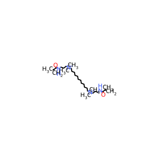 C=C(C)C(=O)NCCC[N+](C)(C)CCCCCCCCCCCC[N+](C)(C)CCCNC(=O)C(=C)C